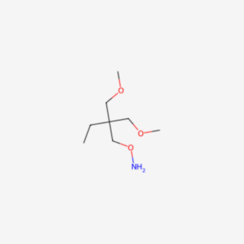 CCC(COC)(COC)CON